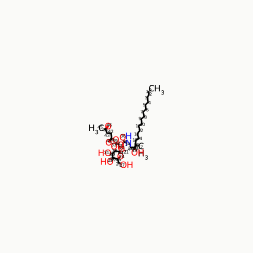 CCCCCCCCCCCCCCCC[C@@H](C)[C@@H](O)[C@H](CO[C@H]1OC(CO)[C@H](O)[C@H](O)C1O)NC(=O)OCOC(=O)CCC(C)=O